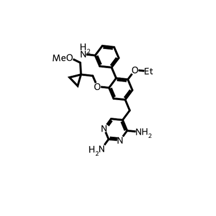 CCOc1cc(Cc2cnc(N)nc2N)cc(OCC2(COC)CC2)c1-c1cccc(N)c1